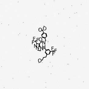 COCCCc1cc(CN2CCn3nc(C(F)(F)F)c(C(=O)N[C@@H](C)c4ccc(C(=O)OC)cc4)c32)cc(C(F)(F)F)c1